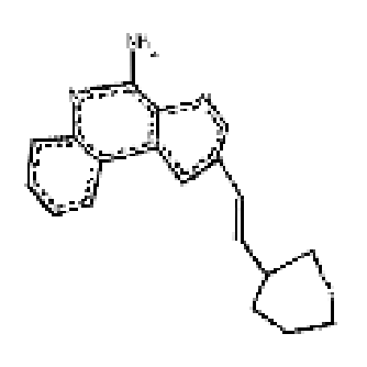 Nc1nc2ccccc2c2cc(C=CC3CCCCC3)cnc12